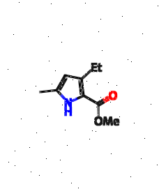 CCc1cc(C)[nH]c1C(=O)OC